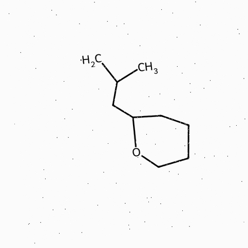 [CH2]C(C)CC1CCCCO1